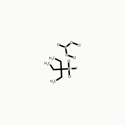 CCC(CC)(CC)[N+](F)(Cl)Cl.[O-]B(OCl)OCl